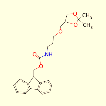 CC1(C)OCC(COCCCNC(=O)OCC2c3ccccc3-c3ccccc32)O1